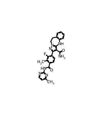 Cc1ccnc(NC(=O)c2ccc(-c3nn4c(c3C(N)=O)Nc3ccccc3CC4)c(F)c2C)n1